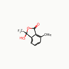 COc1cccc2c1C(=O)OC2(O)C(F)(F)F